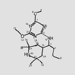 CCCC(Nc1nc(OC)nc(OC)n1)C1CC(C)(C)NC(C)(C)C1